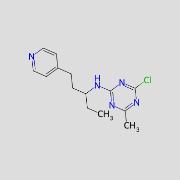 CCC(CCc1ccncc1)Nc1nc(C)nc(Cl)n1